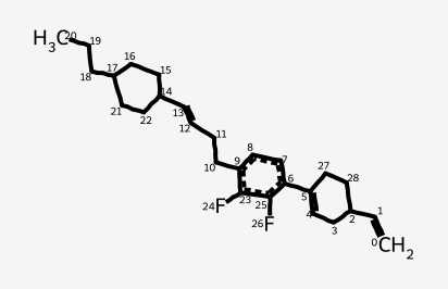 C=CC1CC=C(c2ccc(CC/C=C/C3CCC(CCC)CC3)c(F)c2F)CC1